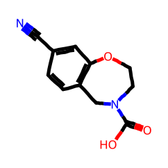 N#Cc1ccc2c(c1)OCCN(C(=O)O)C2